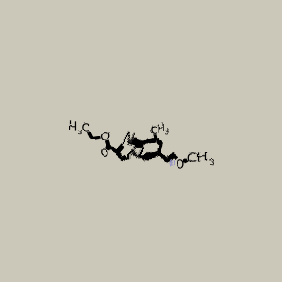 CCOC(=O)c1cn2cc(/C=C/OC)cc(C)c2n1